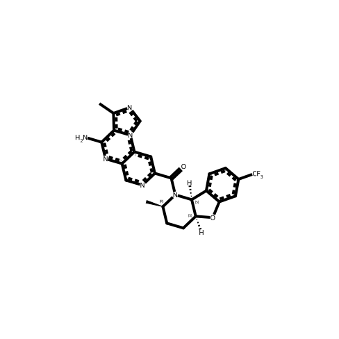 Cc1ncn2c1c(N)nc1cnc(C(=O)N3[C@H](C)CC[C@@H]4Oc5cc(C(F)(F)F)ccc5[C@@H]43)cc12